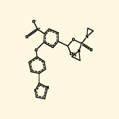 CC(OP(=O)(N1CC1)N1CC1)c1ccc([N+](=O)[O-])c(Oc2ccc(-c3nccs3)cc2)c1